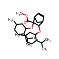 COC(=O)C1(OC2CC(C)CCC2C(C)C)C2C=CC(C2)C1OC1CC(C)CCC1C(C)C